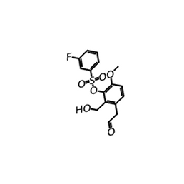 COc1ccc(CC=O)c(CO)c1OS(=O)(=O)c1cccc(F)c1